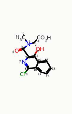 CN(CC(=O)O)C(=O)c1nc(Cl)c2ccccc2c1O